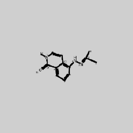 CC(C)=NNc1cccc2c(=O)n(C)ccc12